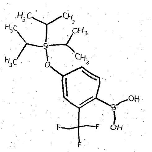 CC(C)[Si](Oc1ccc(B(O)O)c(C(F)(F)F)c1)(C(C)C)C(C)C